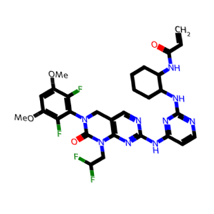 C=CC(=O)NC1CCCCC1Nc1nccc(Nc2ncc3c(n2)N(CC(F)F)C(=O)N(c2c(F)c(OC)cc(OC)c2F)C3)n1